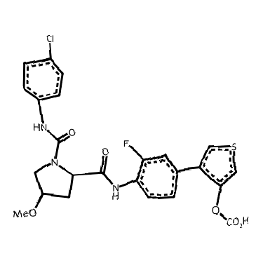 COC1CC(C(=O)Nc2ccc(-c3cscc3OC(=O)O)cc2F)N(C(=O)Nc2ccc(Cl)cc2)C1